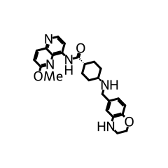 COc1ccc2nccc(NC(=O)[C@H]3CC[C@H](NCc4ccc5c(c4)NCCO5)CC3)c2n1